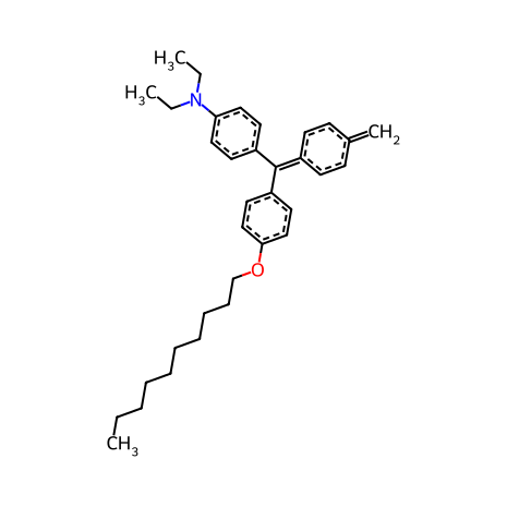 C=c1ccc(=C(c2ccc(OCCCCCCCCCC)cc2)c2ccc(N(CC)CC)cc2)cc1